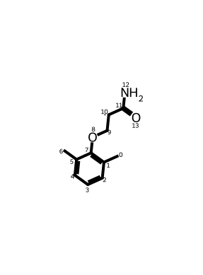 Cc1cccc(C)c1OC[CH]C(N)=O